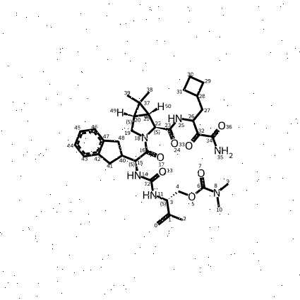 C=C(C)[C@@H](COC(=O)N(C)C)NC(=O)N[C@H](C(=O)N1C[C@H]2[C@@H]([C@H]1C(=O)NC(CC1CCC1)C(=O)C(N)=O)C2(C)C)C1Cc2ccccc2C1